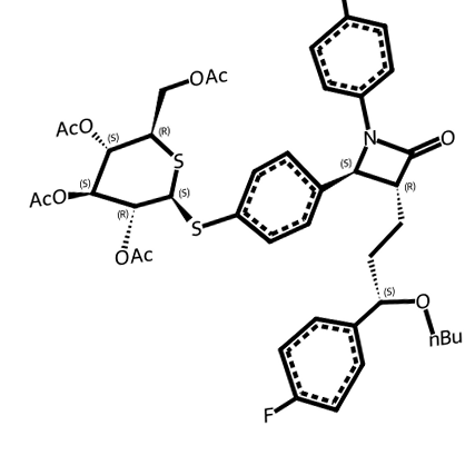 CCCCO[C@@H](CC[C@H]1C(=O)N(c2ccc(F)cc2)[C@@H]1c1ccc(S[C@@H]2S[C@H](COC(C)=O)[C@@H](OC(C)=O)[C@H](OC(C)=O)[C@H]2OC(C)=O)cc1)c1ccc(F)cc1